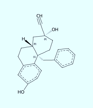 C#C[C@@]1(O)CC[C@@]2(Cc3ccccc3)c3ccc(O)cc3CC[C@@H]2C1